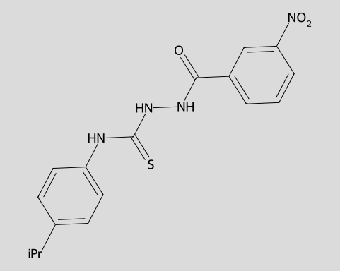 CC(C)c1ccc(NC(=S)NNC(=O)c2cccc([N+](=O)[O-])c2)cc1